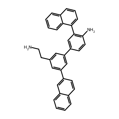 NCCc1cc(-c2ccc(N)c(-c3cccc4ccccc34)c2)cc(-c2ccc3ccccc3c2)c1